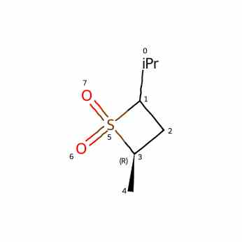 CC(C)C1C[C@@H](C)S1(=O)=O